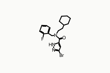 O=C(c1cc(Br)n[nH]1)N(CCC1CCCCC1)Cc1ccccc1F